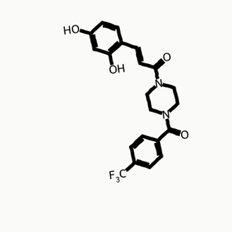 O=C(/C=C/c1ccc(O)cc1O)N1CCN(C(=O)c2ccc(C(F)(F)F)cc2)CC1